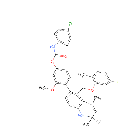 COc1cc(OC(=O)Nc2ccc(Cl)cc2)ccc1-c1ccc2c(c1COc1cc(F)ccc1C)C(C)=CC(C)(C)N2